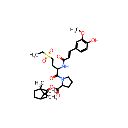 CCS(=O)(=O)CCC(NC(=O)/C=C/c1ccc(O)c(OC)c1)C(=O)N1CCCC1C(=O)OC1CC2CCC1(C)C2(C)C